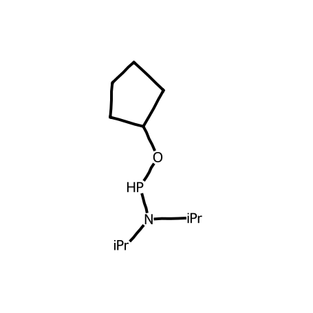 CC(C)N(POC1CCCC1)C(C)C